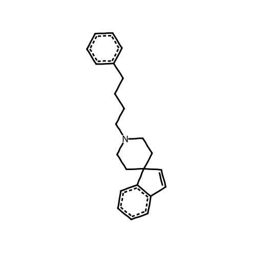 C1=CC2(CCN(CCCCc3ccccc3)CC2)c2ccccc21